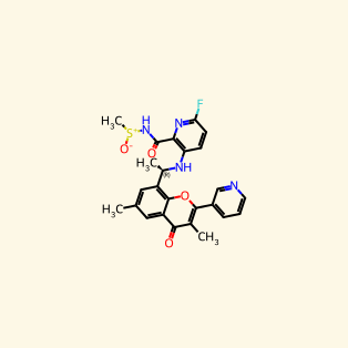 Cc1cc([C@@H](C)Nc2ccc(F)nc2C(=O)N[S+](C)[O-])c2oc(-c3cccnc3)c(C)c(=O)c2c1